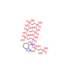 NC1CCCCC1N.O=P(O)(O)CCP(=O)(O)O.O=P(O)(O)CCP(=O)(O)O.O=P(O)(O)CCP(=O)(O)O.O=P(O)(O)CCP(=O)(O)O